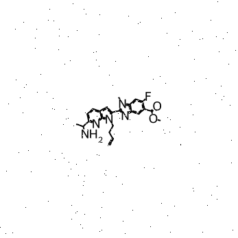 C=CCCn1c(-c2nc3cc(C(=O)OC)c(F)cc3n2C)cc2ccc(C(C)N)nc21